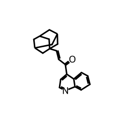 O=C(C=CC12CC3CC(CC(C3)C1)C2)c1ccnc2ccccc12